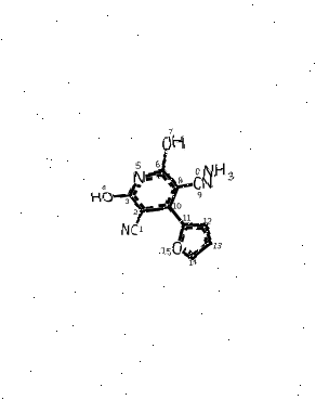 N.N#Cc1c(O)nc(O)c(C#N)c1-c1ccco1